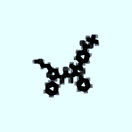 COCCC1C[C@@H](NC(=O)Nc2c(C)c(-c3ccc(C(=O)OC(C)(C)C)cc3)nn2-c2ccccc2)[C@H](c2ccccc2)O1